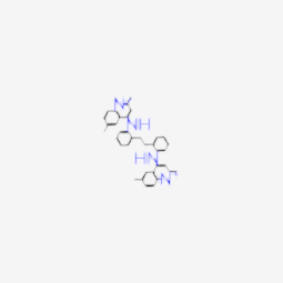 Cc1ccc2c(c1)c(Nc1ccccc1CCc1ccccc1Nc1cc(C)[n+](C)c3ccc(C)cc13)cc(C)[n+]2C